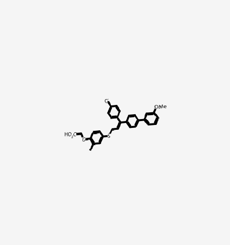 COc1cccc(-c2ccc(/C(=C/CSc3ccc(OCC(=O)O)c(C)c3)c3ccc(Cl)cc3)cc2)c1